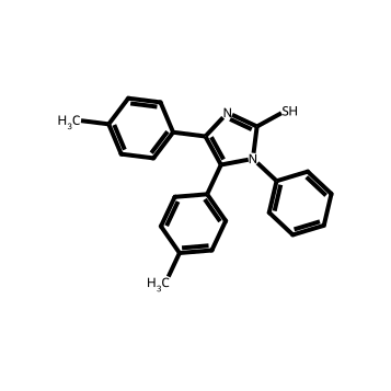 Cc1ccc(-c2nc(S)n(-c3ccccc3)c2-c2ccc(C)cc2)cc1